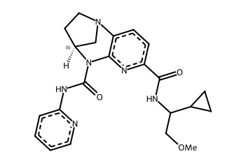 COCC(NC(=O)c1ccc2c(n1)N(C(=O)Nc1ccccn1)[C@H]1CCN2C1)C1CC1